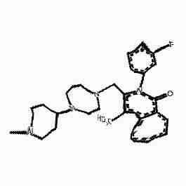 CN1CCC(N2CCN(Cc3c(C(=O)O)c4ccccc4c(=O)n3-c3cccc(F)c3)CC2)CC1